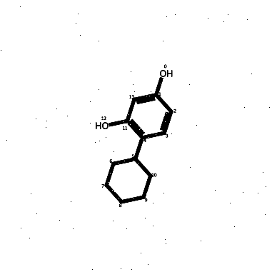 Oc1ccc(C2CC[CH]CC2)c(O)c1